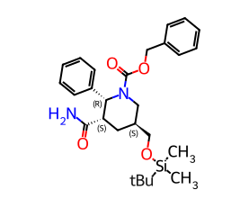 CC(C)(C)[Si](C)(C)OC[C@H]1C[C@H](C(N)=O)[C@H](c2ccccc2)N(C(=O)OCc2ccccc2)C1